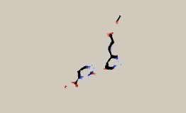 CCOC(=O)/C=C/c1cncc(Oc2nccc(C(=O)OC)n2)c1